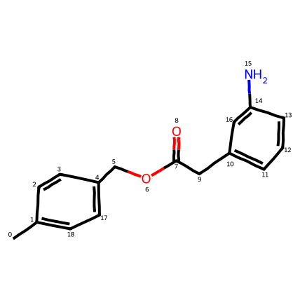 Cc1ccc(COC(=O)Cc2cccc(N)c2)cc1